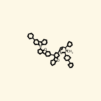 CN1C(c2ccc(-c3ccccc3)cc2)=NC2(c3cc(-c4ccc5c(c4)oc4c(-n6c7ccccc7c7cc(-c8ccccc8)ccc76)cccc45)c4c(c3)oc3ccccc34)C3C(C1c1ccccc1)C32